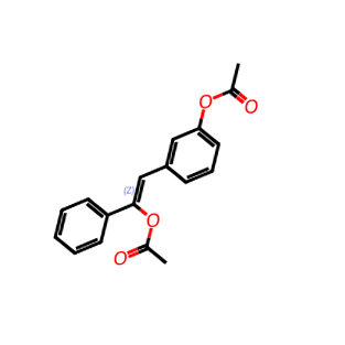 CC(=O)O/C(=C\c1cccc(OC(C)=O)c1)c1ccccc1